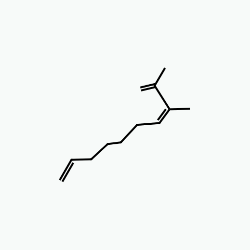 C=CCCCCC=C(C)C(=C)C